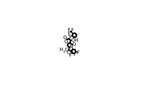 CC1(C)c2c(F)cc(F)cc2-n2c1cc1oc(=O)c(Sc3ccccc3C(F)(F)F)c(O)c1c2=O